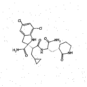 NC(=O)[C@H](C[C@@H]1CCCNC1=O)NC(=O)C(CC1CC1)[C@]1(C(N)=O)Cc2cc(Cl)cc(Cl)c2N1